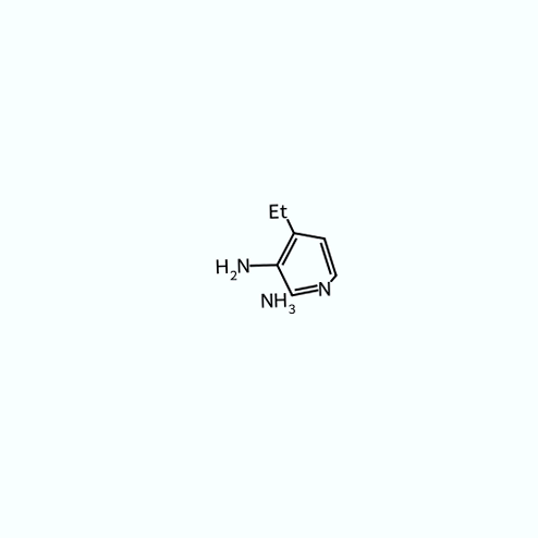 CCc1ccncc1N.N